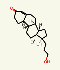 CC[C@]12CC[C@H]3[C@@H](CCC4=CC(=O)CC[C@@H]43)[C@@H]1CC[C@@]2(O)CCCO